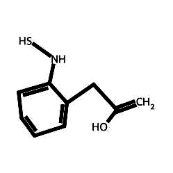 C=C(O)Cc1ccccc1NS